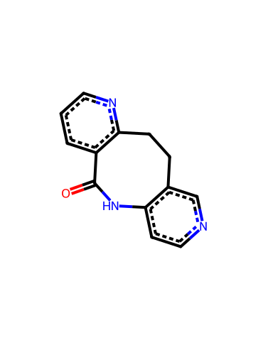 O=C1Nc2ccncc2CCc2ncccc21